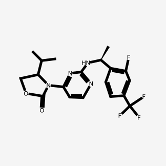 CC(C)C1COC(=O)N1c1ccnc(N[C@@H](C)c2ccc(C(F)(F)F)cc2F)n1